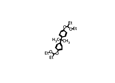 CCOC(CC)Oc1ccc(C(C)(C)c2ccc(OC(CC)OCC)cc2)cc1